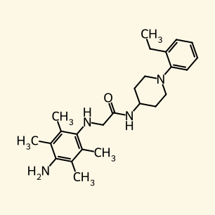 CCc1ccccc1N1CCC(NC(=O)CNc2c(C)c(C)c(N)c(C)c2C)CC1